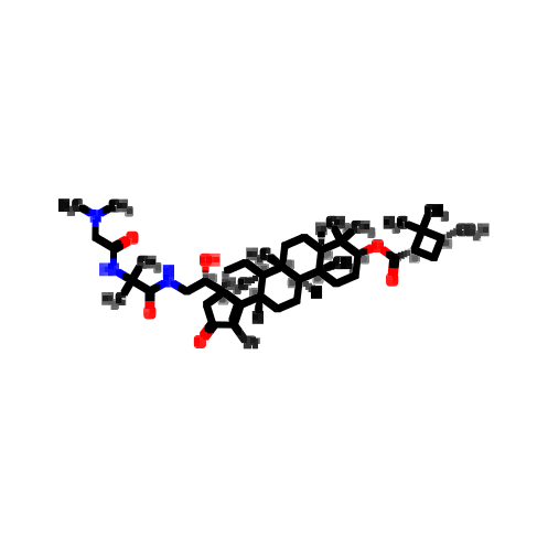 CC(C)C1=C2[C@H]3CC[C@@H]4[C@@]5(C)CC[C@H](OC(=O)[C@H]6C[C@@H](C(=O)O)C6(C)C)C(C)(C)[C@@H]5CC[C@@]4(C)[C@]3(C)CC[C@@]2([C@@H](O)CNC(=O)C(C)(C)NC(=O)CN(C)C)CC1=O